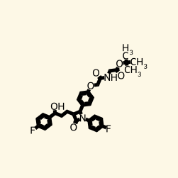 CC(C)(C)OC(=O)CNC(=O)COc1ccc(C2C(CCC(O)c3ccc(F)cc3)C(=O)N2c2ccc(F)cc2)cc1